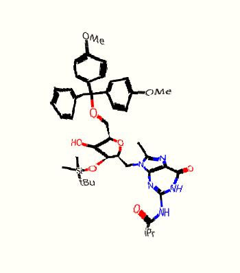 COc1ccc(C(OC[C@H]2O[C@@H](Cn3c(C)nc4c(=O)[nH]c(NC(=O)C(C)C)nc43)[C@@H](O[Si](C)(C)C(C)(C)C)C2O)(c2ccccc2)c2ccc(OC)cc2)cc1